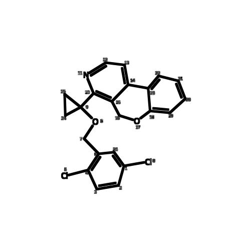 Clc1ccc(Cl)c(COC2(c3nccc4c3COc3ccccc3-4)CC2)c1